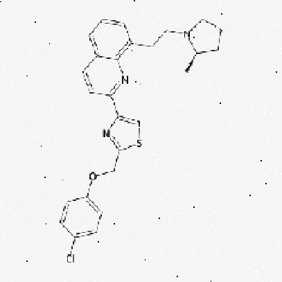 C[C@@H]1CCCN1CCc1cccc2ccc(-c3csc(COc4ccc(Cl)cc4)n3)nc12